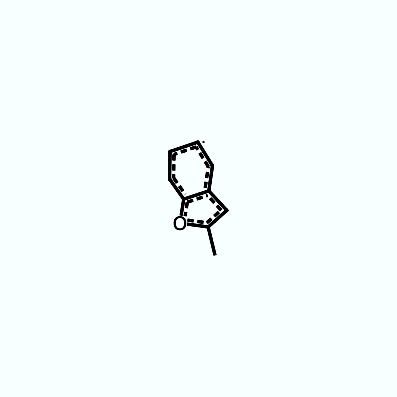 Cc1cc2c[c]ccc2o1